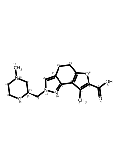 Cc1c(C(=O)O)oc2c1-c1nn(C[C@@H]3CN(C)CCO3)cc1CC2